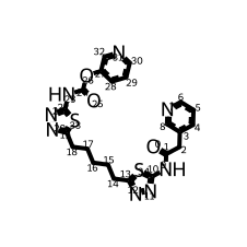 O=C(Cc1cccnc1)Nc1nnc(CCCCCc2nnc(NC(=O)Oc3cccnc3)s2)s1